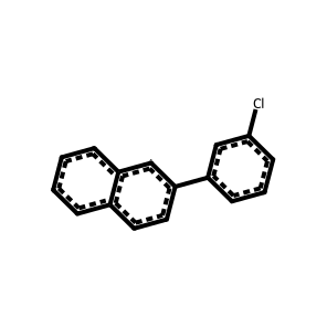 Clc1cccc(-c2[c]c3ccccc3cc2)c1